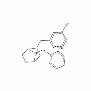 Brc1cncc(CC2CC3CCC2N3Cc2ccccc2)c1